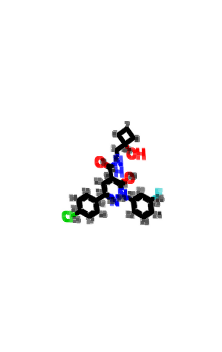 O=C(NCC1(O)CCC1)c1cc(-c2ccc(Cl)cc2)nn(-c2cccc(F)c2)c1=O